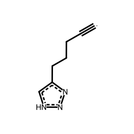 [C]#CCCCc1c[nH]nn1